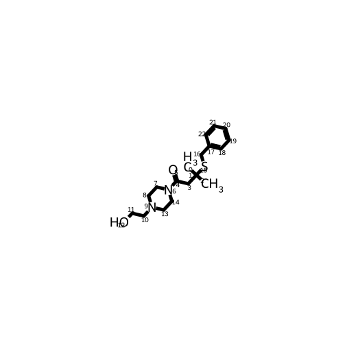 CC(C)(CC(=O)N1CCN(CCO)CC1)SCc1ccccc1